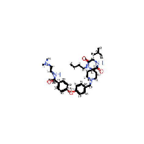 CCCCN1C(=O)[C@H](CC(C)C)NC(=O)C12CCN(Cc1ccc(Oc3ccc(C(=O)NCCN(C)C)cc3)cc1)CC2